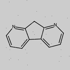 c1cnc2c(c1)-c1cccnc1C2